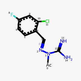 CC(=O)N(/N=C/c1ccc(F)cc1Cl)C(=N)N